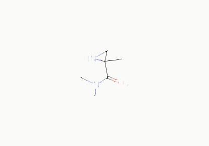 CN(C)C(=O)C1(C)CN1